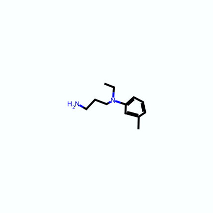 CCN(CCCN)c1cccc(C)c1